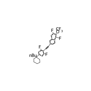 CCCCC1(c2cc(F)c(C#Cc3ccc4c(F)c(OC(F)(F)F)c(F)cc4c3)c(F)c2)CCCCC1